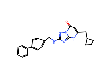 O=c1cc(CC2CCC2)[nH]c2nc(NCc3ccc(-c4ccccc4)cc3)nn12